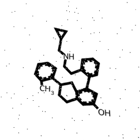 Cc1ccccc1C1CCc2cc(O)cc(-c3ccccc3CCNCC3CC3)c2C1